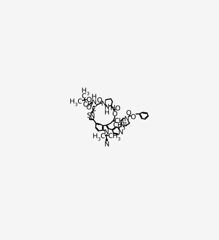 CC1(C)COC(=O)[C@@H]2CCCN(N2)C(=O)[C@@H](NC(=O)OC(C)(C)C)Cc2nc(cs2)-c2ccc3c(c2)c(c(-c2ccnc(N4CCN(C(=O)OCc5ccccc5)CC4)c2)n3C(C)(C)C#N)C1